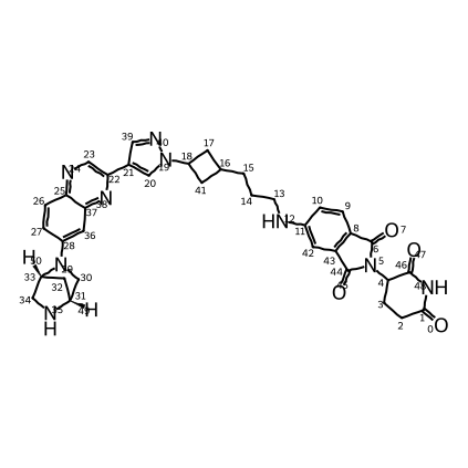 O=C1CCC(N2C(=O)c3ccc(NCCCC4CC(n5cc(-c6cnc7ccc(N8C[C@H]9C[C@@H]8CN9)cc7n6)cn5)C4)cc3C2=O)C(=O)N1